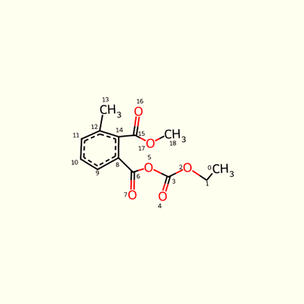 CCOC(=O)OC(=O)c1cccc(C)c1C(=O)OC